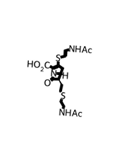 CC(=O)NC=CSC1=C(C(=O)O)N2C(=O)[C@H](CCSCCNC(C)=O)[C@H]2C1